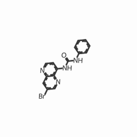 O=C(Nc1ccccc1)Nc1ccnc2cc(Br)cnc12